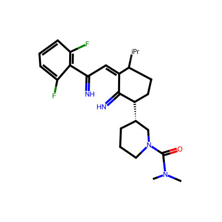 CC(C)C1CCC([C@H]2CCCN(C(=O)N(C)C)C2)C(=N)/C1=C\C(=N)c1c(F)cccc1F